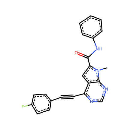 Cn1c(C(=O)Nc2ccccc2)cc2c(C#Cc3ccc(F)cc3)ncnc21